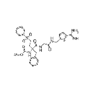 COC(=O)NC(CCS(=O)(=O)c1ccccc1)(Cc1ccccc1)C(=O)NCC(=O)NCc1ccc(C(=N)N)s1